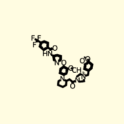 COc1cc(N2CCCCC2CC(=O)N2CCN(Cc3ccc4c(c3)OCO4)CC2)ccc1Oc1ccc(NC(=O)c2ccc(C(F)(F)F)cc2)cn1